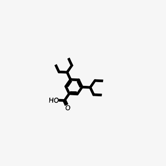 CCC(CC)c1cc(C(=O)O)cc(C(CC)CC)c1